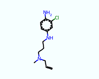 C=CCN(C)CCCNc1ccc(N)c(Cl)c1